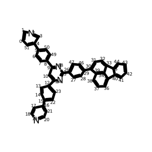 c1cncc(-c2ccc(-c3cc(-c4ccc(-c5ccncc5)cc4)nc(-c4ccc(-c5ccc6c7c(cccc57)-c5ccccc5-6)cc4)n3)cc2)c1